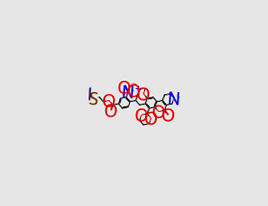 COc1cc2c3c(c(=O)oc2c(C2OCCCO2)c1CC(C)c1ccc(C(=O)OCCSI)cc1[N+](=O)[O-])CN(C)CC3